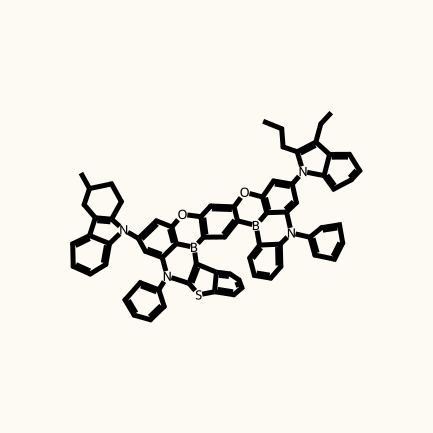 CCCc1c(CC)c2ccccc2n1-c1cc2c3c(c1)N(c1ccccc1)c1ccccc1B3c1cc3c(cc1O2)Oc1cc(-n2c4c(c5ccccc52)CC(C)CC4)cc2c1B3c1c(sc3ccccc13)N2c1ccccc1